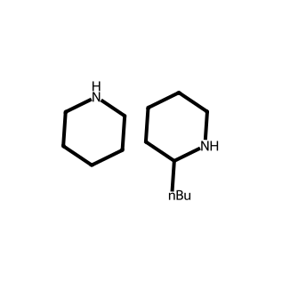 C1CCNCC1.CCCCC1CCCCN1